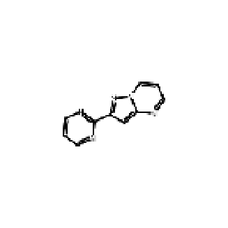 c1cnc(-c2cc3ncccn3n2)nc1